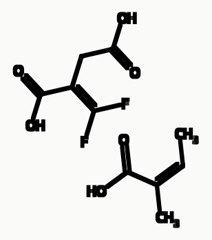 CC=C(C)C(=O)O.O=C(O)CC(C(=O)O)=C(F)F